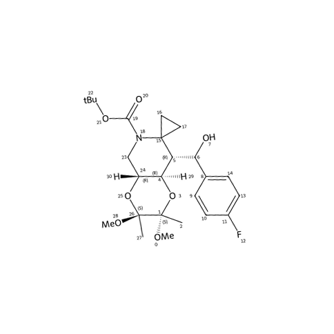 CO[C@@]1(C)O[C@@H]2[C@@H](C(O)c3ccc(F)cc3)C3(CC3)N(C(=O)OC(C)(C)C)C[C@H]2O[C@]1(C)OC